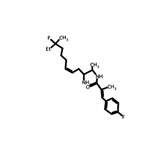 CCC(C)(F)CCC/C=C\CC(N)C(C)NC(=O)/C(C)=C/c1ccc(F)cc1